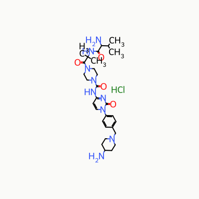 CC(C)C(N)C(=O)NC(C)(C)C(=O)N1CCN(C(=O)Nc2ccn(-c3ccc(CN4CCC(N)CC4)cc3)c(=O)n2)CC1.Cl